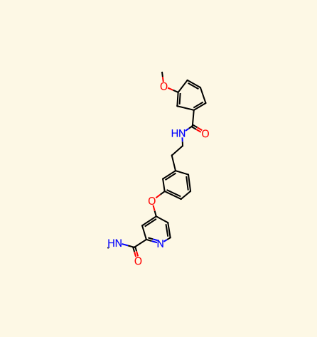 CNC(=O)c1cc(Oc2cccc(CCNC(=O)c3cccc(OC)c3)c2)ccn1